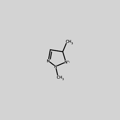 CC1C=NN(C)[N+]1